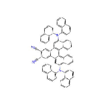 N#Cc1cc2c(cc1C#N)c1cc(N(c3cccc4ccccc34)c3cccc4ccccc34)c3ccccc3c1c1c3ccccc3c(N(c3cccc4ccccc34)c3cccc4ccccc34)cc21